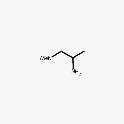 [CH2]NCC(C)N